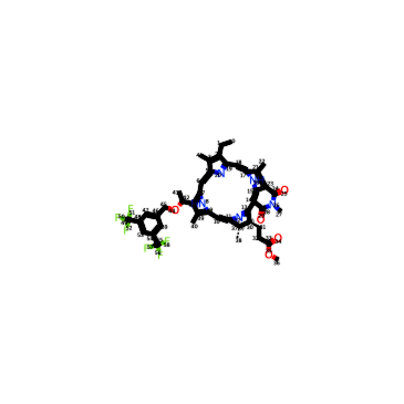 CCC1=C(C)c2cc3[nH]c(cc4nc(c5c6[nH]c(cc1n2)c(C)c6C(=O)N(C)C5=O)[C@@H](CCC(=O)OC)[C@@H]4C)c(C)c3C(C)OCc1cc(C(F)(F)F)cc(C(F)(F)F)c1